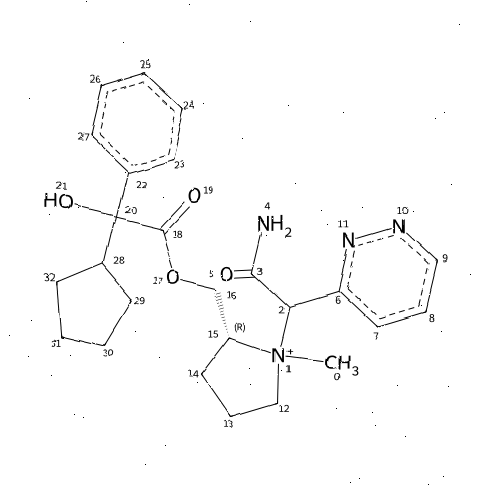 C[N+]1(C(C(N)=O)c2cccnn2)CCC[C@@H]1COC(=O)C(O)(c1ccccc1)C1CCCC1